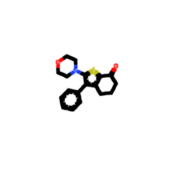 O=C1CCCc2c1sc(N1CCOCC1)c2-c1ccccc1